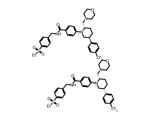 CCS(=O)(=O)c1ccc(CNC(=O)c2ccc(N3C[C@@H](c4ccc(C(F)(F)F)cc4)CC[C@H]3CN3CCOCC3)cc2)cc1.CCS(=O)(=O)c1ccc(CNC(=O)c2ccc(N3C[C@H](c4ccc(C(F)(F)F)cc4)CC[C@H]3CN3CCOCC3)cc2)cc1